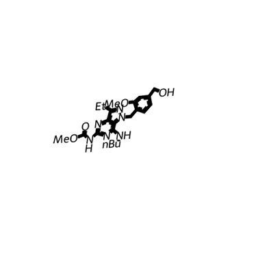 CCCCNc1nc(NC(=O)OC)nc2c(CC)nn(Cc3ccc(CO)cc3OC)c12